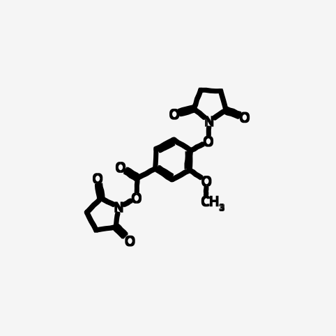 COc1cc(C(=O)ON2C(=O)CCC2=O)ccc1ON1C(=O)CCC1=O